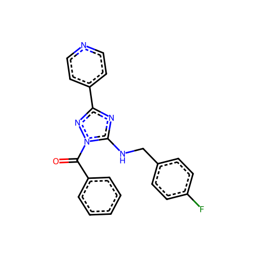 O=C(c1ccccc1)n1nc(-c2ccncc2)nc1NCc1ccc(F)cc1